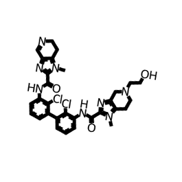 Cn1c(C(=O)Nc2cccc(-c3cccc(NC(=O)c4nc5c(n4C)CCN(CCO)C5)c3Cl)c2Cl)nc2c1CCN=C2